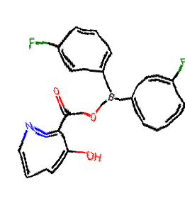 O=C(OB(c1cccc(F)c1)c1cccc(F)c1)c1ncccc1O